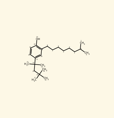 CC(C)CCCCCCc1cc(C(C)(C)CC(C)(C)C)ccc1O